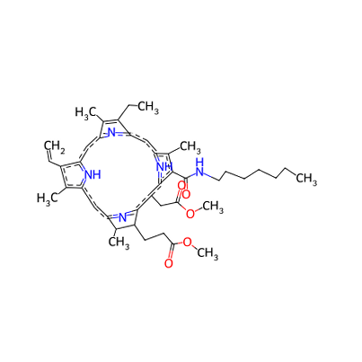 C=Cc1c(C)c2cc3nc(c(CC(=O)OC)c4[nH]c(cc5nc(cc1[nH]2)C(C)=C5CC)c(C)c4C(=O)NCCCCCCC)C(CCC(=O)OC)C3C